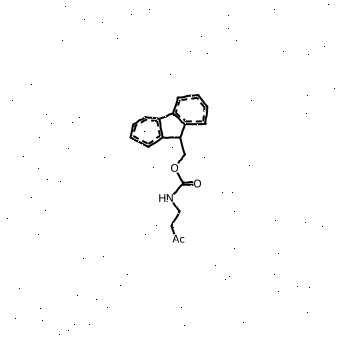 CC(=O)CCNC(=O)OCC1c2ccccc2-c2ccccc21